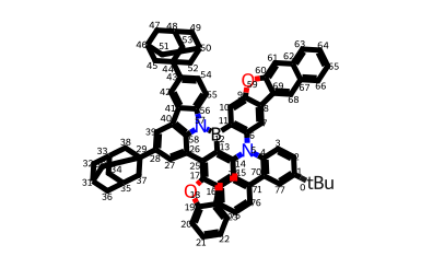 CC(C)(C)c1ccc(N2c3cc4c(cc3B3c5c2cc2c(oc6ccccc62)c5-c2cc(C56CC7CC(CC(C7)C5)C6)cc5c6cc(C78CC9CC(CC(C9)C7)C8)ccc6n3c25)oc2cc3ccccc3cc24)c(-c2ccccc2)c1